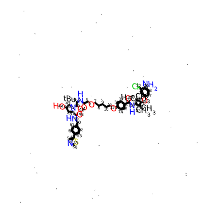 CC(C)(C)[C@H](NC(=O)COCCCCCOc1ccc(C(=O)N[C@H]2C(C)(C)[C@H](Oc3ccc(N)c(Cl)c3)C2(C)C)cc1)C(=O)N1C[C@H](O)C[C@H]1C(=O)NCc1ccc(-c2cncs2)cc1